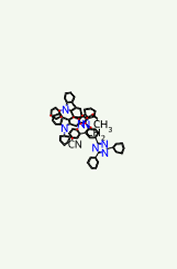 C=Cc1c(/C=C\C)c2cc3c4ccccc4n(-c4ccccc4)c3cc2n1-c1ccc(C#N)cc1-c1cc(-c2nc(-c3ccccc3)nc(-c3ccccc3)n2)ccc1-n1c2ccccc2c2cc3c4ccccc4n(-c4ccccc4)c3cc21